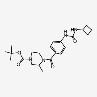 CC1CN(C(=O)OC(C)(C)C)CCN1C(=O)c1ccc(NC(=O)NC2CCC2)cc1